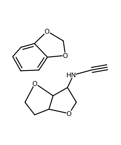 C#CNC1COC2CCOC12.c1ccc2c(c1)OCO2